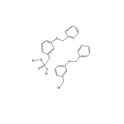 BrCc1cccc(OCc2ccccc2)c1.CCOP(=O)(Cc1cccc(OCc2ccccc2)c1)OCC